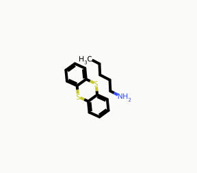 CCCCCN.c1ccc2c(c1)Sc1ccccc1S2